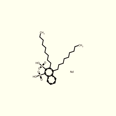 CCCCCCCCCc1c(S(=O)(=O)O)c(S(=O)(=O)O)c2ccccc2c1CCCCCCCCC.[Nd]